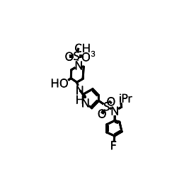 CC(C)CN(c1ccc(F)cc1)S(=O)(=O)c1ccc(NC2CCN(S(C)(=O)=O)CC2O)nc1